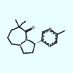 Cc1cnc([C@@H]2CCN3CCCC(C)(C)C(=O)N23)cn1